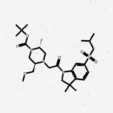 COC[C@H]1CN(C(=O)OC(C)(C)C)[C@H](C)CN1CC(=O)N1CC(C)(C)c2ccc(S(=O)(=O)CC(C)C)cc21